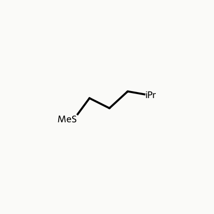 [CH2]SCCCC(C)C